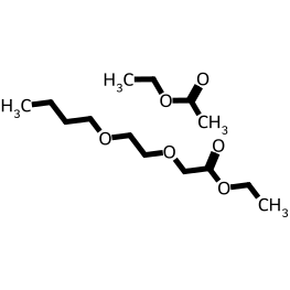 CCCCOCCOCC(=O)OCC.CCOC(C)=O